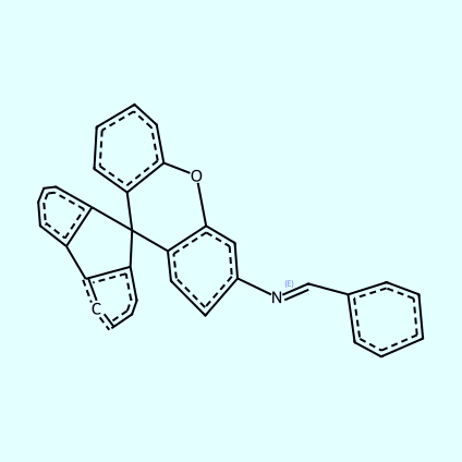 C(=N\c1ccc2c(c1)Oc1ccccc1C21c2ccccc2-c2ccccc21)/c1ccccc1